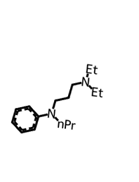 CCCN(CCCN(CC)CC)c1ccccc1